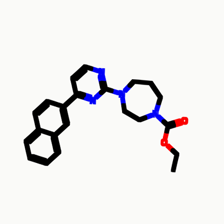 CCOC(=O)N1CCCN(c2nccc(-c3ccc4ccccc4c3)n2)CC1